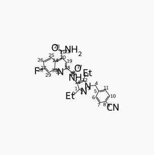 CCc1nn(Cc2ccc(C#N)cc2)c(CC)c1NC(=O)c1cc(C(N)=O)c2ccc(F)cc2n1